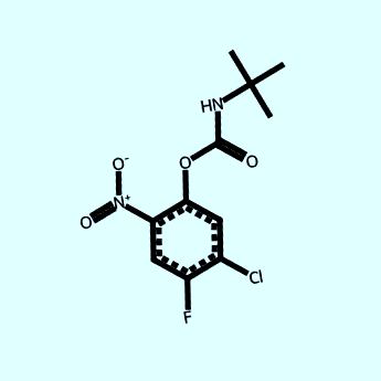 CC(C)(C)NC(=O)Oc1cc(Cl)c(F)cc1[N+](=O)[O-]